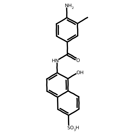 Cc1cc(C(=O)Nc2ccc3cc(S(=O)(=O)O)ccc3c2O)ccc1N